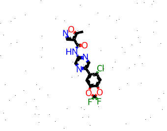 Cc1oncc1C(=O)Nc1cnc(-c2cc3c(cc2Cl)OC(F)(F)O3)cn1